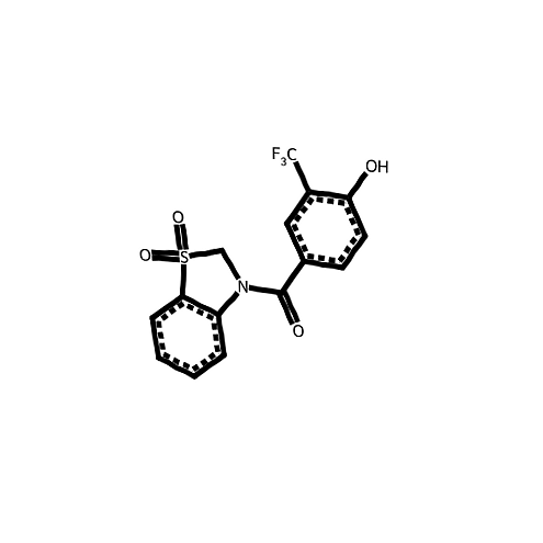 O=C(c1ccc(O)c(C(F)(F)F)c1)N1CS(=O)(=O)c2ccccc21